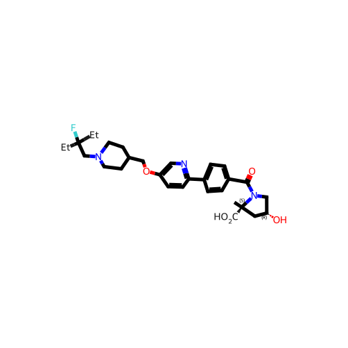 CCC(F)(CC)CN1CCC(COc2ccc(-c3ccc(C(=O)N4C[C@H](O)C[C@@]4(C)C(=O)O)cc3)nc2)CC1